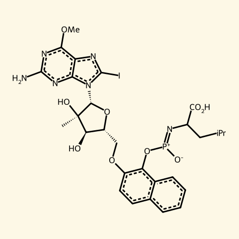 COc1nc(N)nc2c1nc(I)n2[C@@H]1O[C@H](COc2ccc3ccccc3c2O/[P+]([O-])=N/C(CC(C)C)C(=O)O)[C@@H](O)[C@@]1(C)O